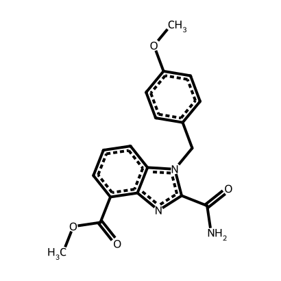 COC(=O)c1cccc2c1nc(C(N)=O)n2Cc1ccc(OC)cc1